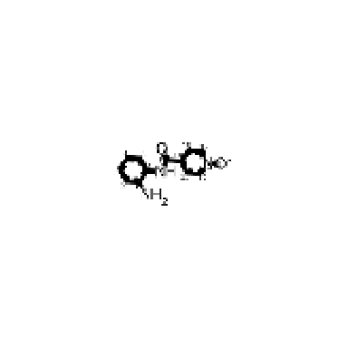 Nc1ccccc1NC(=O)c1cc[n+]([O-])cc1